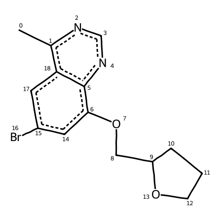 Cc1ncnc2c(OCC3CCCO3)cc(Br)cc12